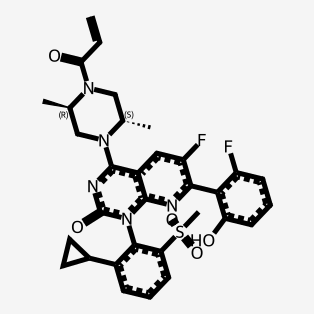 C=CC(=O)N1C[C@H](C)N(c2nc(=O)n(-c3c(C4CC4)cccc3S(C)(=O)=O)c3nc(-c4c(O)cccc4F)c(F)cc23)C[C@H]1C